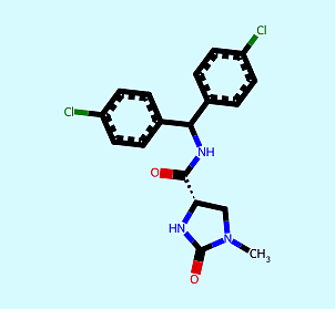 CN1C[C@@H](C(=O)NC(c2ccc(Cl)cc2)c2ccc(Cl)cc2)NC1=O